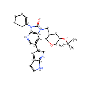 CC(C)(C)[Si](C)(C)O[C@H]1COC[C@H](Cn2c(=O)n(C3=CCCCC3)c3ncc(-c4cnc5[nH]ccc5c4)cc32)C1